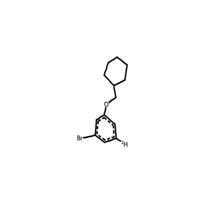 [2H]c1cc(Br)cc(OCC2CCCCC2)c1